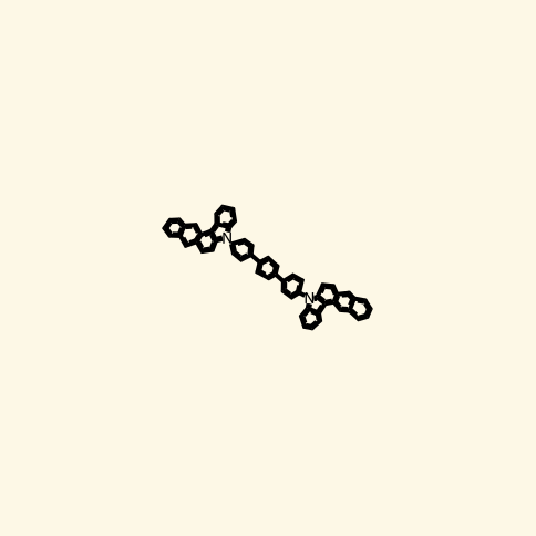 c1ccc2cc3c(ccc4c3c3ccccc3n4-c3ccc(-c4ccc(-c5ccc(-n6c7ccccc7c7c8cc9ccccc9cc8ccc76)cc5)cc4)cc3)cc2c1